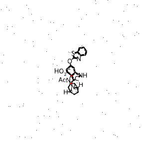 CC(=O)N(CC(=O)O)[C@H]1C[C@H]2CC[C@@H](C1)N2Cc1c[nH]c2cc(Oc3nc4ccccc4s3)ccc12